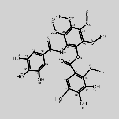 O=C(Nc1c(OC(=O)c2cc(O)c(O)c(O)c2SF)c(SF)c(SF)c(SF)c1SF)c1cc(O)c(O)c(O)c1